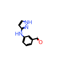 O=[C]c1cccc(Nc2cc[nH]n2)c1